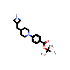 CC(C)(C)OC(=O)c1ccc(N2CCC(CC3CNC3)CC2)cc1